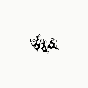 Cc1cc(C(F)(F)F)cc(N2C(=O)CCC2C(=O)N(C)c2cc(F)cc(F)c2N(C)CC=O)n1